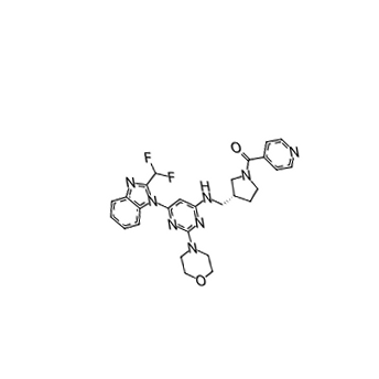 O=C(c1ccncc1)N1CC[C@H](CNc2cc(-n3c(C(F)F)nc4ccccc43)nc(N3CCOCC3)n2)C1